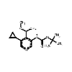 COC(C)c1c(NC(=O)OC(C)(C)C)cncc1C1CC1